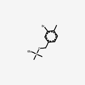 Cc1ccc(CO[Si](C)(C)C(C)(C)C)cc1Br